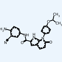 CC(C)Oc1ccc(-n2c(=O)ccc3cc(C(=O)Nc4ccc(N)c(C#N)c4)[nH]c32)cc1